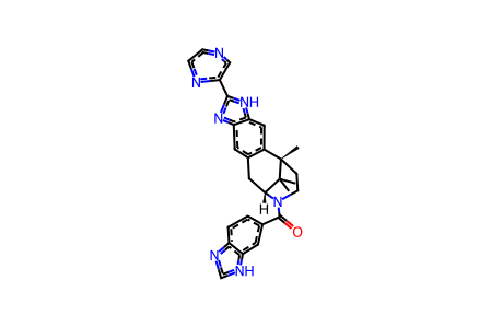 CC1(C)[C@H]2Cc3cc4nc(-c5cnccn5)[nH]c4cc3[C@]1(C)CCN2C(=O)c1ccc2nc[nH]c2c1